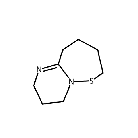 C1CCC2=NCCCN2SC1